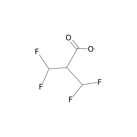 [O]C(=O)C(C(F)F)C(F)F